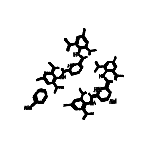 CC(Nc1c(C(C)C)cc(C)cc1C(C)C)=C1C=CCC(=C(C)Nc2c(C(C)C)cc(C)cc2C(C)C)N1.CC(Nc1c(C(C)C)cc(C)cc1C(C)C)=C1C=CCC(=C(C)Nc2c(C(C)C)cc(C)cc2C(C)C)N1.[Nd].[Nd][c]1ccccc1